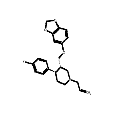 C=CCN1CC[C@@H](c2ccc(F)cc2)[C@H](COc2ccc3c(c2)OCO3)C1